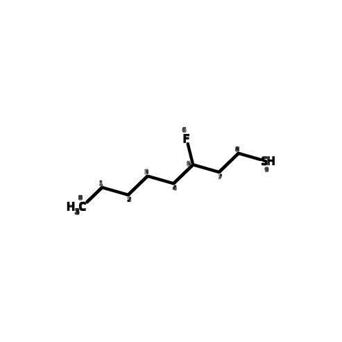 CCCCCC(F)CCS